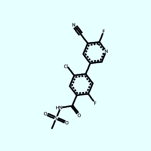 CS(=O)(=O)NC(=O)c1cc(Cl)c(-c2cnc(F)c(C#N)c2)cc1F